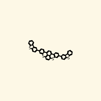 c1ccc2c(c1)sc1ccc(-c3ccc4c(c3)Sc3ccc5c6c(ccc-4c36)-c3ccc(-c4ccc6sc7ccccc7c6c4)cc3S5)cc12